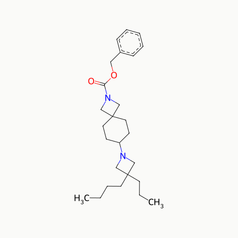 CCCCC1(CCC)CN(C2CCC3(CC2)CN(C(=O)OCc2ccccc2)C3)C1